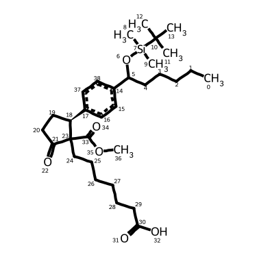 CCCCCC(O[Si](C)(C)C(C)(C)C)c1ccc([C@@H]2CCC(=O)C2(CCCCCCC(=O)O)C(=O)OC)cc1